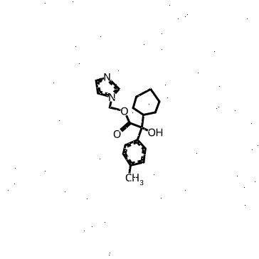 Cc1ccc(C(O)(C(=O)OCn2ccnc2)C2CCCCC2)cc1